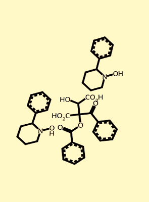 O=C(OC(C(=O)O)(C(=O)c1ccccc1)C(O)C(=O)O)c1ccccc1.ON1CCCCC1c1ccccc1.ON1CCCCC1c1ccccc1